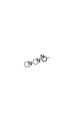 Cc1ccc(N2CCC(N3CCCCC3)CC2)nc1